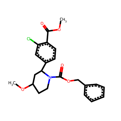 COC(=O)c1ccc(C2CC(OC)CCN2C(=O)OCc2ccccc2)cc1Cl